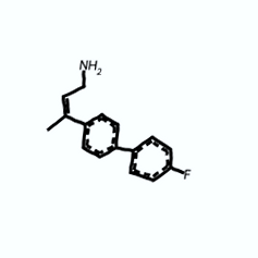 C/C(=C/CN)c1ccc(-c2ccc(F)cc2)cc1